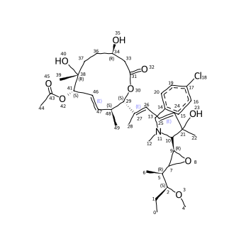 CC[C@H](OC)[C@@H](C)C1O[C@@H]1C(N(C)Cc1ccc(Cl)cc1)C(C)(O)/C=C/C=C(\C)[C@H]1OC(=O)C[C@H](O)CC[C@@](C)(O)[C@@H](OC(C)=O)/C=C/[C@@H]1C